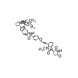 CN1CCC[C@@H]1c1cc2cnc(NC(=O)c3ccc(OCC#Cc4cccc5c4n(C)c(=O)n5C4CCC(=O)NC4=O)cc3)cc2n1C(=O)OC(C)(C)C